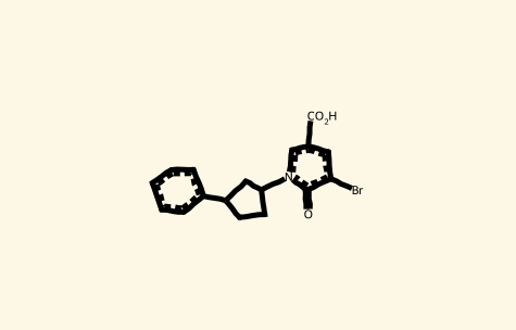 O=C(O)c1cc(Br)c(=O)n(C2CCC(c3ccccc3)C2)c1